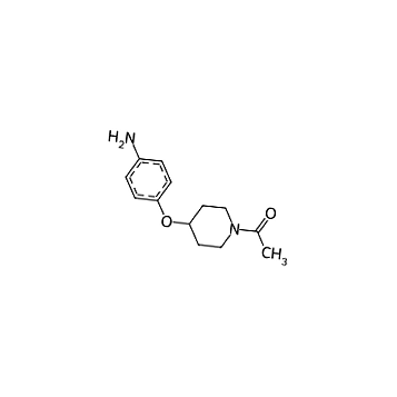 CC(=O)N1CCC(Oc2ccc(N)cc2)CC1